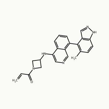 C=CC(=O)N1CC(Nc2cncc3c(-c4c(C)ccc5[nH]ncc45)cccc23)C1